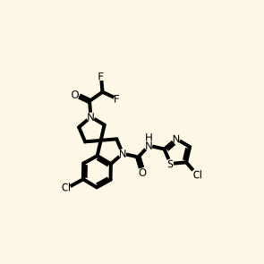 O=C(C(F)F)N1CCC2(C1)CN(C(=O)Nc1ncc(Cl)s1)c1ccc(Cl)cc12